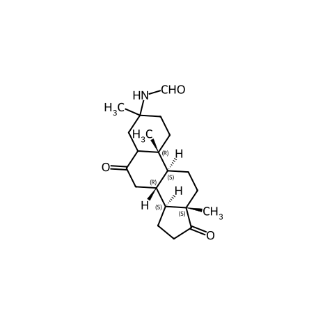 CC1(NC=O)CC[C@@]2(C)C(C1)C(=O)C[C@@H]1[C@@H]2CC[C@]2(C)C(=O)CC[C@@H]12